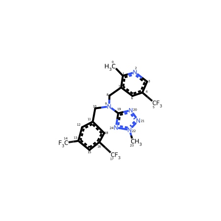 Cc1ncc(C(F)(F)F)cc1CN(Cc1cc(C(F)(F)F)cc(C(F)(F)F)c1)c1nnn(C)n1